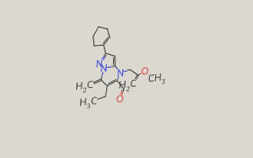 C=C(CN1C(C=O)=C(CC)C(=C)n2nc(C3=CCCCC3)cc21)OC